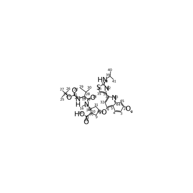 COc1ccc2c(O[C@@H]3C[C@@H](C(=O)O)[C@@H](N(C)C(=O)[C@@H](NC(=O)OC(C)(C)C)C(C)C)C3)cc(-c3csc(NC(C)C)n3)nc2c1